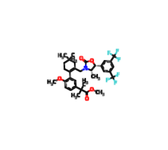 COC(=O)C(C)(C)c1ccc(OC)c(C2=C(CN3C(=O)O[C@H](c4cc(C(F)(F)F)cc(C(F)(F)F)c4)[C@@H]3C)CC(C)(C)CC2)c1